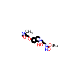 Cc1ncoc1COc1ccc2c(c1)CCN(CC(O)CNC(=O)OC(C)(C)C)C2